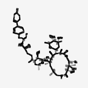 CC[C@H]1OC(=O)[C@H](C)C([C@H]2C[C@@](C)(OC)[C@@H](O)[C@H](C)O2)[C@H](C)[C@@H](O[C@@H]2O[C@H](C)C[C@H](N(C)CCC(=O)N[C@H](CF)Cc3ccc(C4=CCNCC4)cc3)[C@H]2O)[C@](C)(O)C[C@@H](C)CN(C)[C@H](C)[C@@H](O)[C@]1(C)O